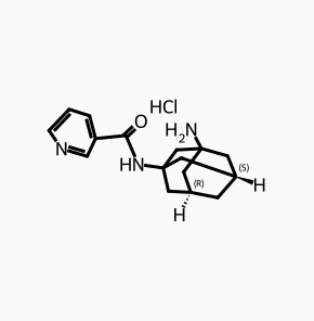 Cl.NC12C[C@H]3C[C@@H](C1)CC(NC(=O)c1cccnc1)(C3)C2